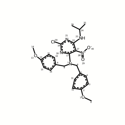 COc1ccc(CN(Cc2ccc(OC)cc2)c2nc(Cl)nc(NC(C)C)c2[N+](=O)[O-])cc1